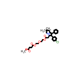 COC(=O)/C=C/C(=O)OCCOCCOC(=O)Cc1c(-c2ccc(Cl)cc2)c(-c2ccccc2)c2n1CC(C)(C)C2